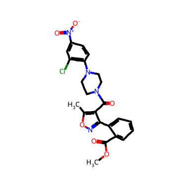 COC(=O)c1ccccc1-c1noc(C)c1C(=O)N1CCN(c2ccc([N+](=O)[O-])cc2Cl)CC1